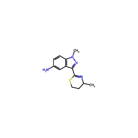 CC1CCSC(c2nn(C)c3ccc(N)cc23)=N1